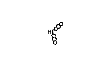 C1=[C]([Hf][C]2=Cc3cc4c(cc3C2)CCC4)Cc2cc3c(cc21)CCC3